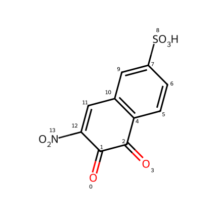 O=C1C(=O)c2ccc(S(=O)(=O)O)cc2C=C1[N+](=O)[O-]